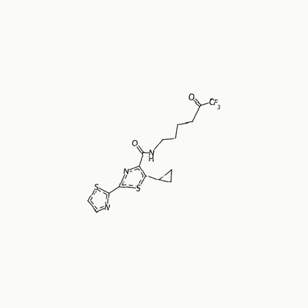 O=C(NCCCCC(=O)C(F)(F)F)c1nc(-c2nccs2)sc1C1CC1